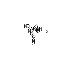 NC(=O)c1ccccc1Nc1nc(-c2cccnc2)nc2ccc(OCCN3CCCC3)cc12